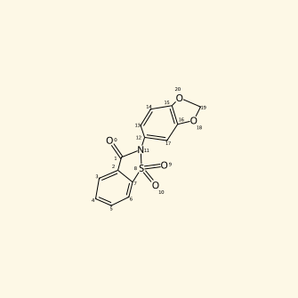 O=C1c2ccccc2S(=O)(=O)N1c1ccc2c(c1)OCO2